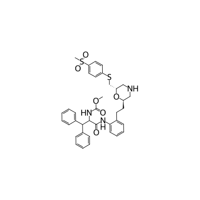 COC(=O)NC(C(=O)Nc1ccccc1CC[C@@H]1CNC[C@@H](CSc2ccc(S(C)(=O)=O)cc2)O1)C(c1ccccc1)c1ccccc1